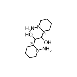 NN1CCCC[C@H]1C(O)C(O)[C@@H]1CCCCN1N